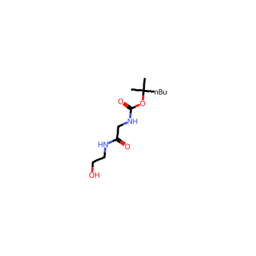 CCCCC(C)(C)OC(=O)NCC(=O)NCCO